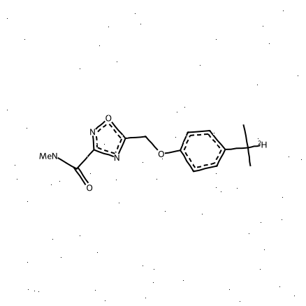 [2H]C(C)(C)c1ccc(OCc2nc(C(=O)NC)no2)cc1